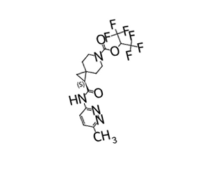 Cc1ccc(NC(=O)[C@H]2CC23CCN(C(=O)OC(C(F)(F)F)C(F)(F)F)CC3)nn1